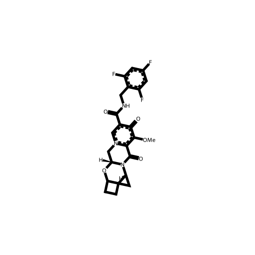 COc1c2n(cc(C(=O)NCc3c(F)cc(F)cc3F)c1=O)C[C@H]1OC3CCC34C[C@H]4N1C2=O